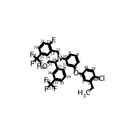 CCc1cc(Oc2cccc(N(Cc3cc(C(F)(F)F)ccc3F)C(CO)c3cccc(C(F)(F)F)c3)c2)ccc1Cl